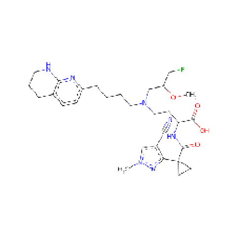 COC(CF)CN(CCCCc1ccc2c(n1)NCCC2)CCC(NC(=O)C1(c2nn(C)cc2C#N)CC1)C(=O)O